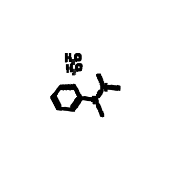 CB(c1ccccc1)N(C)C.O.O